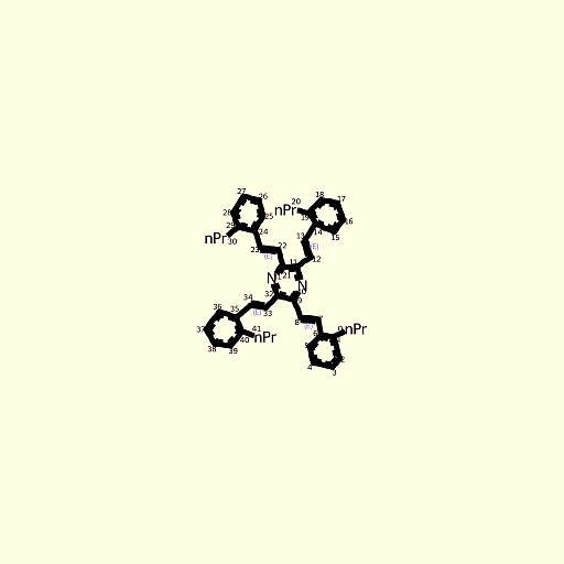 CCCc1ccccc1/C=C/c1nc(/C=C/c2ccccc2CCC)c(/C=C/c2ccccc2CCC)nc1/C=C/c1ccccc1CCC